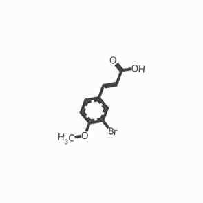 COc1ccc(C=CC(=O)O)cc1Br